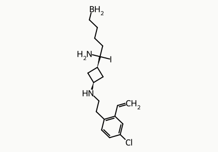 BCCCCC(N)(I)[C@H]1C[C@@H](NCCc2ccc(Cl)cc2C=C)C1